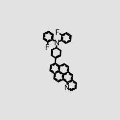 Fc1ccccc1N(c1ccccc1F)C1C=CC(c2ccc3ccc4c5ncccc5cc5ccc2c3c54)=CC1